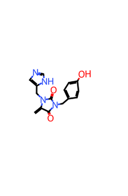 C=C1C(=O)N(Cc2ccc(O)cc2)C(=O)N1Cc1cnc[nH]1